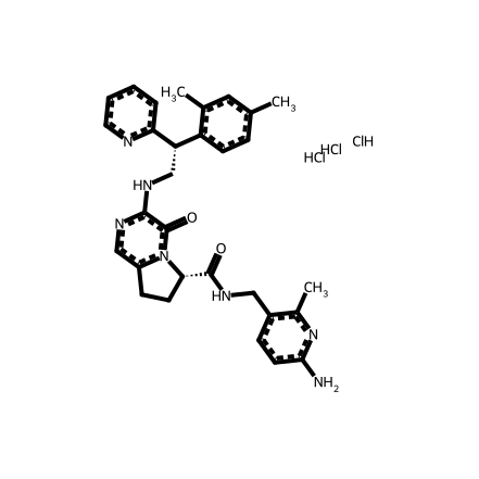 Cc1ccc([C@H](CNc2ncc3n(c2=O)[C@H](C(=O)NCc2ccc(N)nc2C)CC3)c2ccccn2)c(C)c1.Cl.Cl.Cl